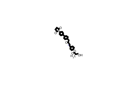 C=C(CO)C(=O)Oc1ccc(/C=C/C(=O)Cc2ccc(-c3ccc(N4C(=O)C=CC4=O)cc3)cc2)cc1